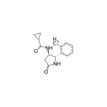 Cc1ccccc1[C@@H]1NC(=O)C[C@H]1NC(=O)C1CC1